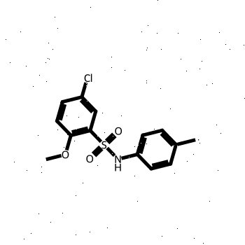 [CH2]c1ccc(NS(=O)(=O)c2cc(Cl)ccc2OC)cc1